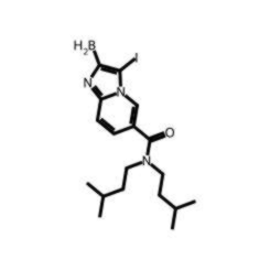 Bc1nc2ccc(C(=O)N(CCC(C)C)CCC(C)C)cn2c1I